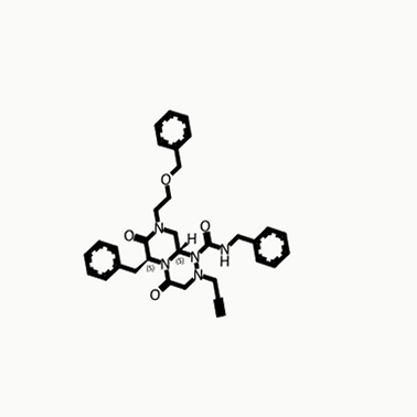 C#CCN1CC(=O)N2[C@@H](Cc3ccccc3)C(=O)N(CCOCc3ccccc3)C[C@@H]2N1C(=O)NCc1ccccc1